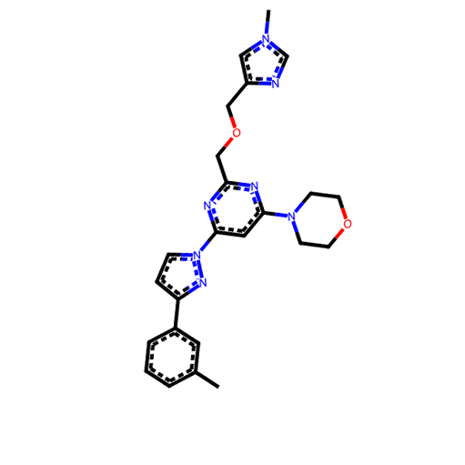 Cc1cccc(-c2ccn(-c3cc(N4CCOCC4)nc(COCc4cn(C)cn4)n3)n2)c1